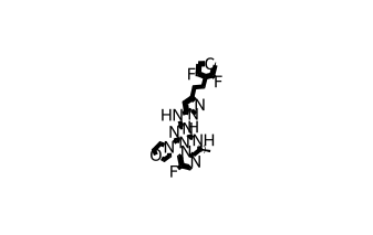 C[C@H](Nc1nc(Nc2cc(CCc3c(F)cccc3F)n[nH]2)nc(N2CCOCC2)n1)c1ncc(F)cn1